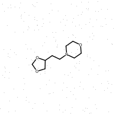 C1CN(CCC2COCO2)CCO1